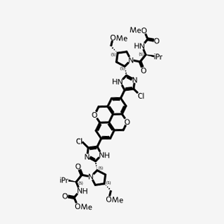 COC[C@H]1C[C@@H](c2nc(Cl)c(-c3cc4c5c(c3)OCc3cc(-c6[nH]c([C@@H]7C[C@H](COC)CN7C(=O)[C@@H](NC(=O)OC)C(C)C)nc6Cl)cc(c3-5)OC4)[nH]2)N(C(=O)[C@@H](NC(=O)OC)C(C)C)C1